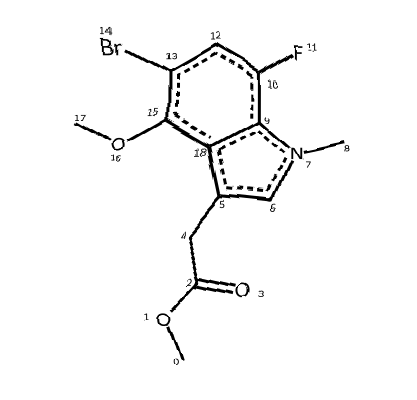 COC(=O)Cc1cn(C)c2c(F)cc(Br)c(OC)c12